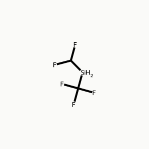 FC(F)[SiH2]C(F)(F)F